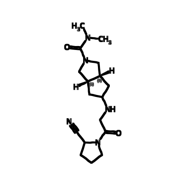 CN(C)C(=O)N1C[C@H]2CC(NCC(=O)N3CCCC3C#N)C[C@H]2C1